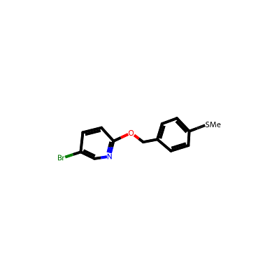 CSc1ccc(COc2ccc(Br)cn2)cc1